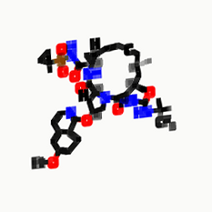 CCOc1ccc2c(O[C@@H]3C[C@H]4C(=O)N[C@]5(C(=O)NS(=O)(=O)C6(C)CC6)C[C@H]5C=CCC[C@H](C)C[C@@H](C)[C@H](NC(=O)NC(C)(C)C(F)(F)F)C(=O)N4C3)nccc2c1